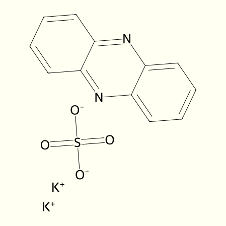 O=S(=O)([O-])[O-].[K+].[K+].c1ccc2nc3ccccc3nc2c1